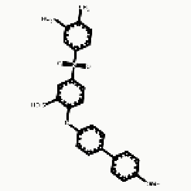 COc1ccc(-c2ccc(Oc3ccc(S(=O)(=O)c4ccc(C)c(S(=O)(=O)O)c4)cc3S(=O)(=O)O)cc2)cc1